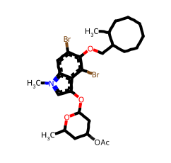 CC(=O)OC1CC(C)OC(Oc2cn(C)c3cc(Br)c(OCC4CCCCCCC4C)c(Br)c23)C1